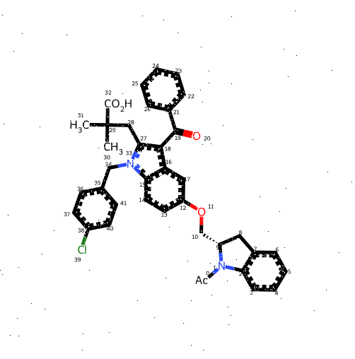 CC(=O)N1c2ccccc2C[C@H]1COc1ccc2c(c1)c(C(=O)c1ccccc1)c(CC(C)(C)C(=O)O)n2Cc1ccc(Cl)cc1